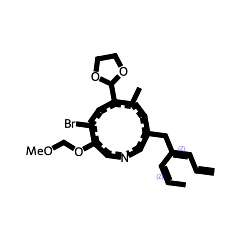 C=C/C=C(\C=C/C)Cc1cncc(OCOC)c(Br)cc(C2OCCO2)c(C)c1